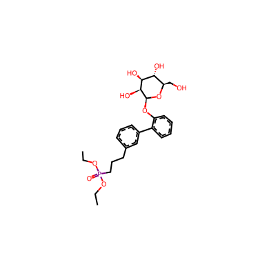 CCOP(=O)(CCCc1cccc(-c2ccccc2O[C@@H]2O[C@H](CO)[C@@H](O)[C@H](O)[C@@H]2O)c1)OCC